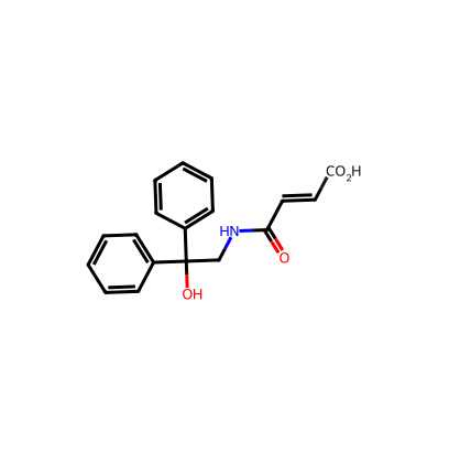 O=C(O)C=CC(=O)NCC(O)(c1ccccc1)c1ccccc1